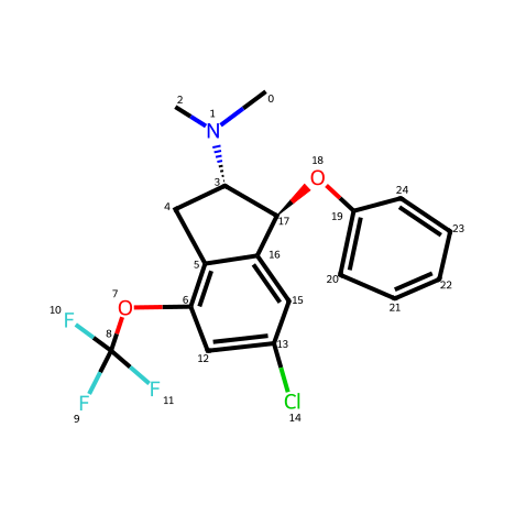 CN(C)[C@H]1Cc2c(OC(F)(F)F)cc(Cl)cc2[C@@H]1Oc1ccccc1